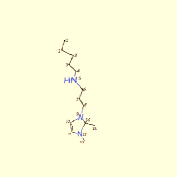 CCCCCNCCCN1C=CN(C)C1C